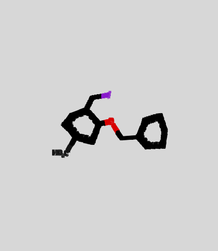 O=C(O)c1ccc(CI)c(OCc2ccccc2)c1